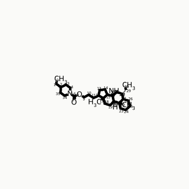 CCC1CCN(C(=O)OCCCC2CCC3C2(C)CC[C@@H]2C4(C)CCCCC4[C@@H](CC)CC32N)CC1